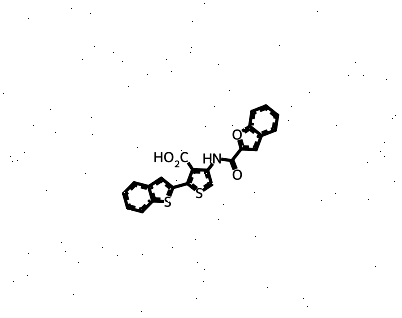 O=C(Nc1csc(-c2cc3ccccc3s2)c1C(=O)O)c1cc2ccccc2o1